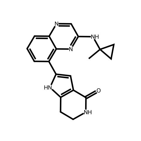 CC1(Nc2cnc3cccc(-c4cc5c([nH]4)CCNC5=O)c3n2)CC1